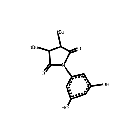 CC(C)(C)C1C(=O)N(c2cc(O)cc(O)c2)C(=O)C1C(C)(C)C